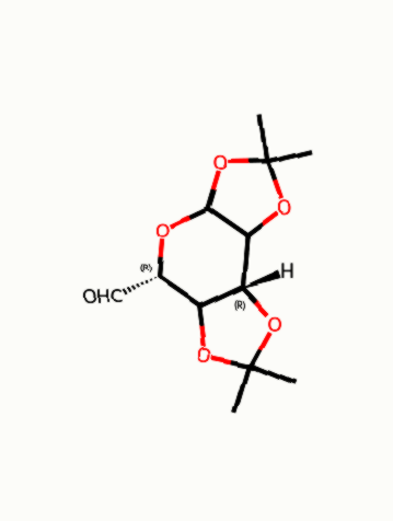 CC1(C)OC2O[C@@H](C=O)C3OC(C)(C)O[C@H]3C2O1